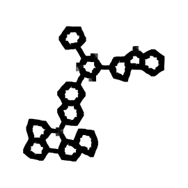 c1ccc(-c2nc(-c3ccc4cc(N5c6c(ccc7ccccc67)-c6cccc7cccc5c67)ccc4c3)nc(-c3ccc4c(c3)sc3ccccc34)n2)cc1